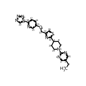 CCc1cnc(N2CCC(c3nc(COc4ccc(-n5cnnn5)nc4)cs3)CC2)nc1